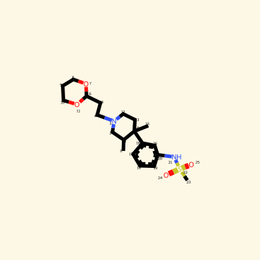 CC1CN(CCC2OCCCO2)CCC1(C)c1cccc(NS(C)(=O)=O)c1